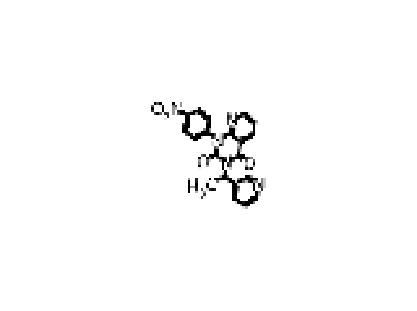 CC(c1cccnc1)n1c(=O)c2cccnc2n(-c2ccc([N+](=O)[O-])cc2)c1=O